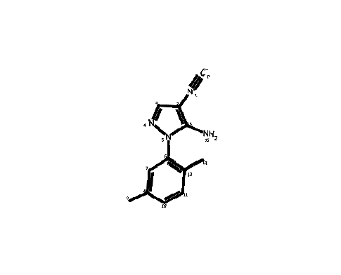 [C-]#[N+]c1cnn(-c2cc(C)ccc2C)c1N